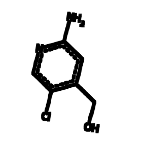 Nc1cc(CO)c(Cl)cn1